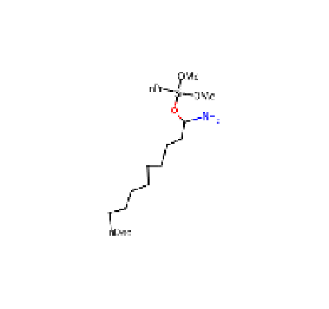 CCCCCCCCCCCCCCCCCCC(N)O[Si](CCC)(OC)OC